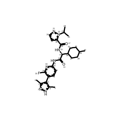 Cc1n[nH]c(C)c1-c1ccc(NC(=O)[C@@H](NC(=O)c2ccnn2C(C)C)C2CCC(C)CC2)nc1F